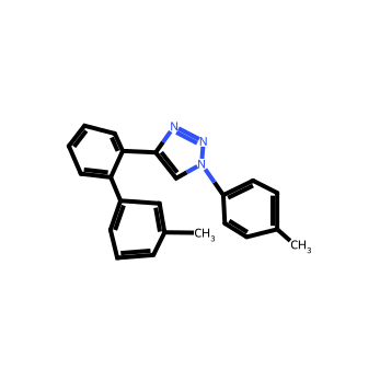 Cc1ccc(-n2cc(-c3ccccc3-c3cccc(C)c3)nn2)cc1